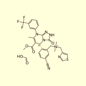 COC(=O)C1=C(C)N(c2cccc(C(F)(F)F)c2)c2n[nH]c(=O)n2[C@@H]1c1ccc(C#N)cc1C[N+](C)(C)Cc1cscn1.O=CO